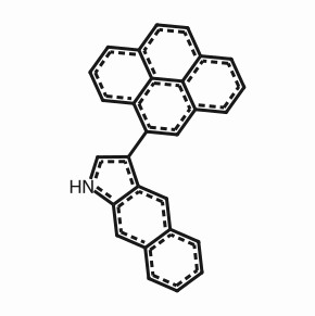 c1ccc2cc3c(-c4cc5cccc6ccc7cccc4c7c65)c[nH]c3cc2c1